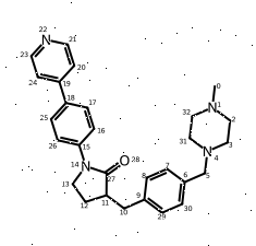 CN1CCN(Cc2ccc(CC3CCN(c4ccc(-c5ccncc5)cc4)C3=O)cc2)CC1